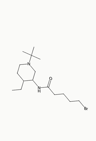 CCC1CCN(C(C)(C)C)CC1NC(=O)CCCCBr